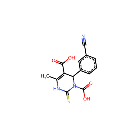 CC1=C(C(=O)O)C(c2cccc(C#N)c2)N(C(=O)O)C(=S)N1